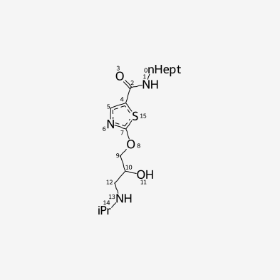 CCCCCCCNC(=O)c1cnc(OCC(O)CNC(C)C)s1